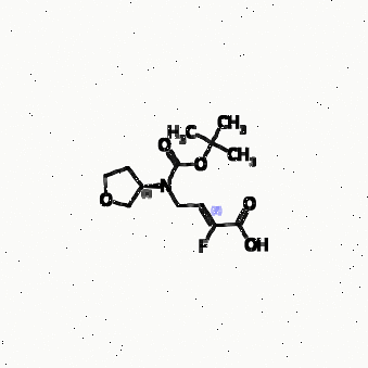 CC(C)(C)OC(=O)N(C/C=C(\F)C(=O)O)[C@@H]1CCOC1